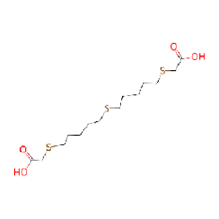 O=C(O)CSCCCCCSCCCCCSCC(=O)O